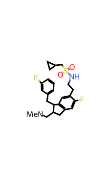 CNCC1Cc2cc(F)c(CCNS(=O)(=O)CC3CC3)cc2C1Cc1cccc(F)c1